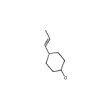 [CH2]C=CC1CCC(Cl)CC1